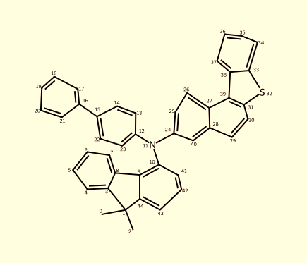 CC1(C)c2ccccc2-c2c(N(c3ccc(-c4ccccc4)cc3)c3ccc4c(ccc5sc6ccccc6c54)c3)cccc21